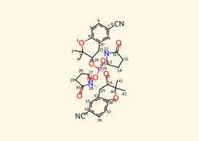 CC1(C)Oc2ccc(C#N)cc2[C@H](N2CCCC2=O)[C@H]1OP(=O)(O)O[C@@H]1[C@@H](N2CCCC2=O)c2cc(C#N)ccc2OC1(C)C